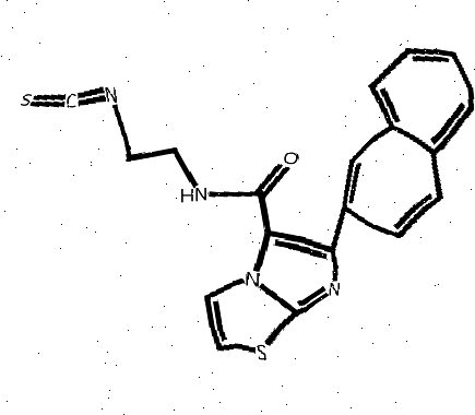 O=C(NCCN=C=S)c1c(-c2ccc3ccccc3c2)nc2sccn12